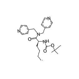 [CH2]CCC[C@H](NC(=O)OC(C)(C)C)C(=O)N(Cc1ccncc1)Cc1ccncc1